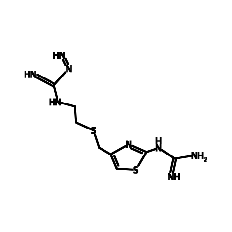 N=NC(=N)NCCSCc1csc(NC(=N)N)n1